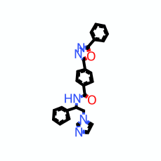 O=C(NC(Cn1ccnc1)c1ccccc1)c1ccc(-c2nnc(-c3ccccc3)o2)cc1